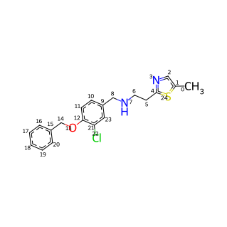 Cc1cnc(CCNCc2ccc(OCc3ccccc3)c(Cl)c2)s1